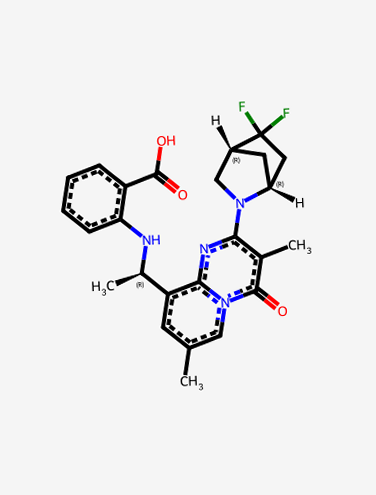 Cc1cc([C@@H](C)Nc2ccccc2C(=O)O)c2nc(N3C[C@H]4C[C@@H]3CC4(F)F)c(C)c(=O)n2c1